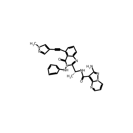 C[C@@H](NC(=O)c1c(N)nn2cccnc12)c1nc2cccc(C#Cc3cnn(C)c3)c2c(=O)n1Nc1ccccc1